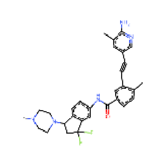 Cc1ccc(C(=O)Nc2ccc3c(c2)C(F)(F)CC3N2CCN(C)CC2)cc1C#Cc1cnc(N)c(C)c1